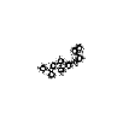 C1=Cc2c(n(-c3ccccc3)c3ccc(-c4ccccc4-c4ccccc4-c4ccc(-c5nc6c(-c7cccc8ccccc78)cccc6o5)cc4)cc23)CC1